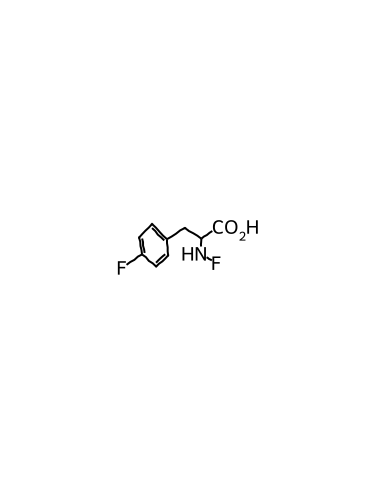 O=C(O)C(Cc1ccc(F)cc1)NF